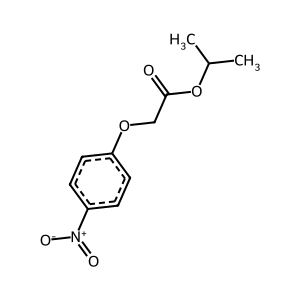 CC(C)OC(=O)COc1ccc([N+](=O)[O-])cc1